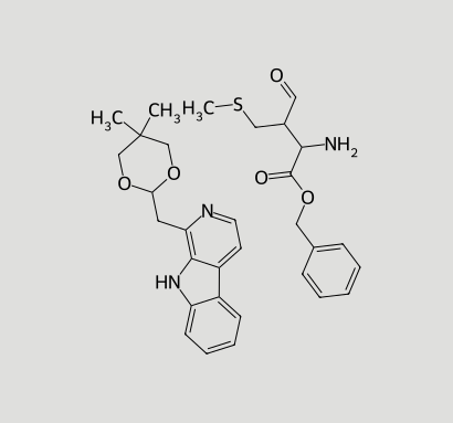 CC1(C)COC(Cc2nccc3c2[nH]c2ccccc23)OC1.CSCC(C=O)C(N)C(=O)OCc1ccccc1